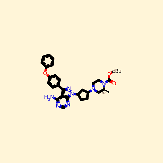 C[C@H]1CN(C2CCC(n3nc(-c4ccc(Oc5ccccc5)cc4)c4c(N)ncnc43)C2)CCN1C(=O)OC(C)(C)C